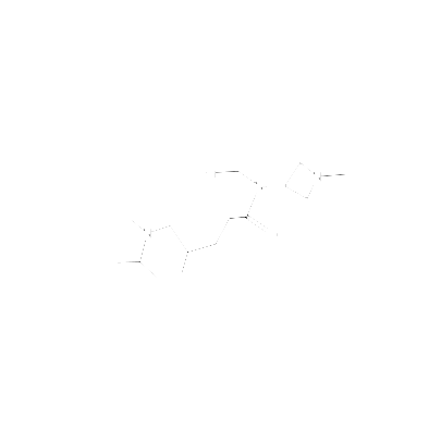 CCC(C)CN(C(=O)CCC(C)CN(C)C(C)C(F)(F)F)C1CN(C)C1